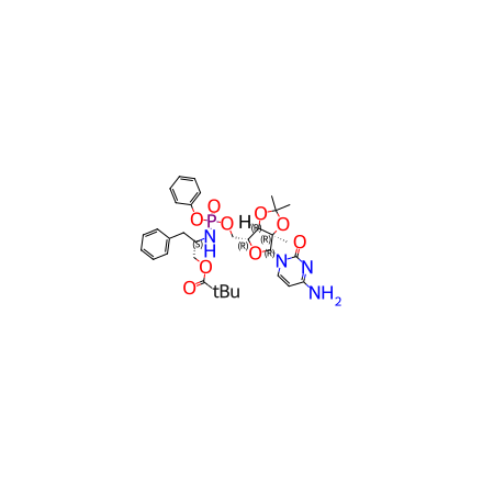 CC1(C)O[C@@H]2[C@@H](COP(=O)(N[C@H](COC(=O)C(C)(C)C)Cc3ccccc3)Oc3ccccc3)O[C@@H](n3ccc(N)nc3=O)[C@]2(C)O1